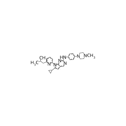 CC(C)Cc1cccc(-n2c(C3CC3)cc3cnc(Nc4ccc(N5CCN(C)CC5)cc4)nc32)n1